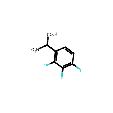 O=C(O)C(c1ccc(F)c(F)c1F)[N+](=O)[O-]